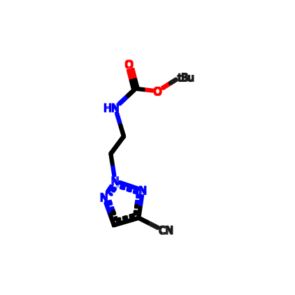 CC(C)(C)OC(=O)NCCn1ncc(C#N)n1